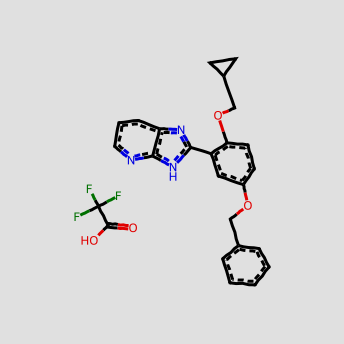 O=C(O)C(F)(F)F.c1ccc(COc2ccc(OCC3CC3)c(-c3nc4cccnc4[nH]3)c2)cc1